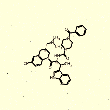 C[C@@H](c1c[nH]c2ccccc12)[C@@H](NC(=O)N1CCN(C(=O)c2ccccc2)CC1)C(=O)N1C[C@@H](CN(C)C)Cc2cc(Cl)ccc21